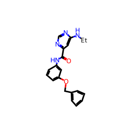 CCNc1cc(C(=O)Nc2cccc(OCc3ccccc3)c2)ncn1